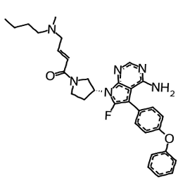 CCCCN(C)C/C=C/C(=O)N1CC[C@@H](n2c(F)c(-c3ccc(Oc4ccccc4)cc3)c3c(N)ncnc32)C1